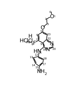 COCCOc1cc(F)c2c(Nc3ccc(N)cc3)ncnc2c1.Cl.Cl